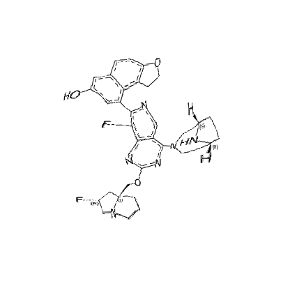 Oc1cc(-c2ncc3c(N4C[C@H]5CC[C@@H](C4)N5)nc(OC[C@@]45CCCN4C[C@H](F)C5)nc3c2F)c2c3c(ccc2c1)OCC3